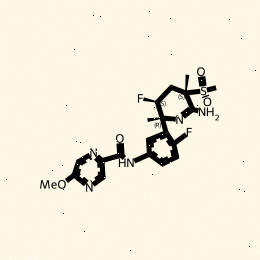 COc1cnc(C(=O)Nc2ccc(F)c([C@@]3(C)N=C(N)[C@@](C)(S(C)(=O)=O)C[C@@H]3F)c2)cn1